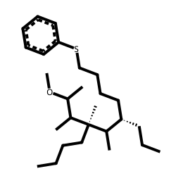 CCCC[C@@](C)(C(C)C(C)OC)C(C)[C@@H](CCC)CCCCSc1ccccc1